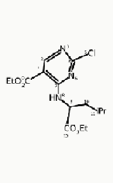 CCOC(=O)c1cnc(Cl)nc1N[C@@H](CC(C)C)C(=O)OCC